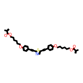 C=C(C)C(=O)OCCCCCCOc1ccc(C#Cc2cnc(C#Cc3ccc(OCCCCCCOC(=O)C(=C)C)cc3)s2)cc1